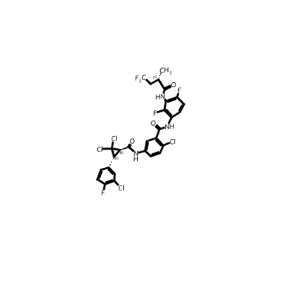 C[C@@H](CC(F)(F)F)C(=O)Nc1c(F)ccc(NC(=O)c2cc(NC(=O)[C@H]3[C@H](c4ccc(F)c(Cl)c4)C3(Cl)Cl)ccc2Cl)c1F